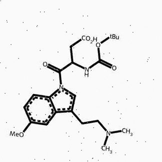 COc1ccc2c(c1)c(CCN(C)C)cn2C(=O)C(CC(=O)O)NC(=O)OC(C)(C)C